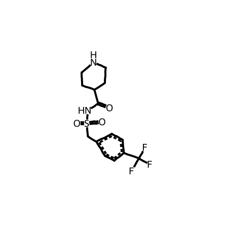 O=C(NS(=O)(=O)Cc1ccc(C(F)(F)F)cc1)C1CCNCC1